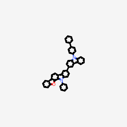 c1ccc(-c2ccc(-n3c4ccccc4c4cc(-c5ccc6c(c5)c5ccc7c8ccccc8oc7c5n6-c5ccccc5)ccc43)cc2)cc1